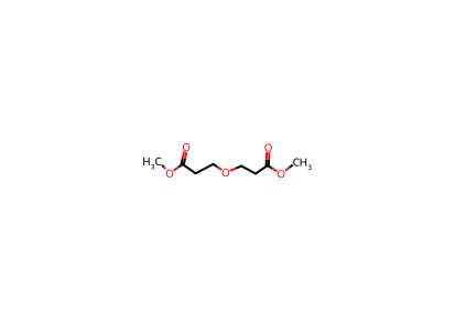 COC(=O)CCOCCC(=O)OC